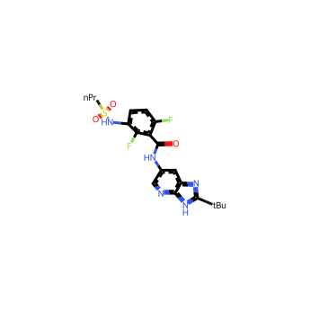 CCCS(=O)(=O)Nc1ccc(F)c(C(=O)Nc2cnc3[nH]c(C(C)(C)C)nc3c2)c1F